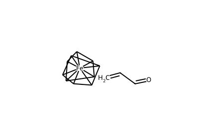 C=CC=O.[CH]12[CH]3[CH]4[CH]5[CH]1[Fe]23451678[CH]2[CH]1[CH]6[CH]7[CH]28